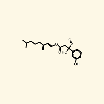 C=C(C=COC(=O)CC(O)(P=O)c1cccc(O)c1)CCCC(C)C